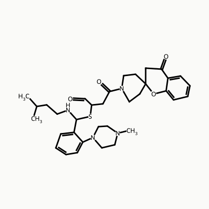 CC(C)CCNC(SC(C=O)CC(=O)N1CCC2(CC1)CC(=O)c1ccccc1O2)c1ccccc1N1CCN(C)CC1